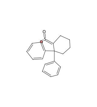 O=S(=O)=C1CCCCC1(c1ccccc1)c1ccccc1